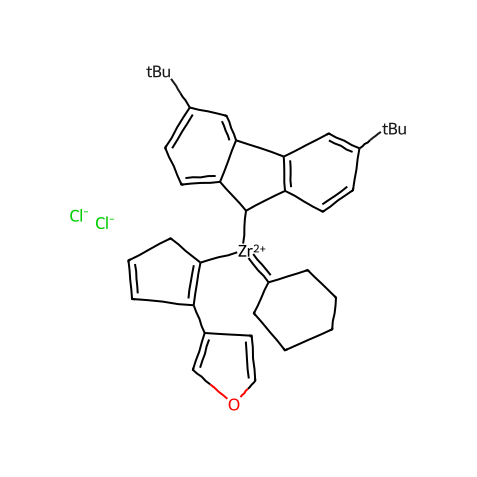 CC(C)(C)c1ccc2c(c1)-c1cc(C(C)(C)C)ccc1[CH]2[Zr+2]([C]1=C(c2ccoc2)C=CC1)=[C]1CCCCC1.[Cl-].[Cl-]